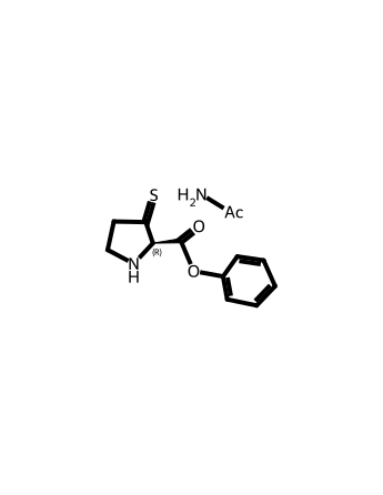 CC(N)=O.O=C(Oc1ccccc1)[C@H]1NCCC1=S